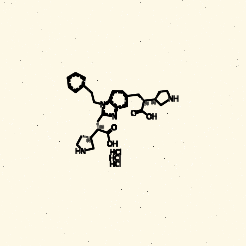 Cl.Cl.Cl.O=C(O)[C@@H](Cc1ccc2c(c1)nc(C[C@H](C(=O)O)[C@H]1CCNC1)n2CCc1ccccc1)[C@H]1CCNC1